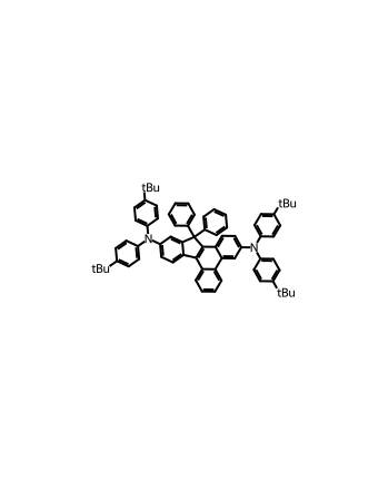 CC(C)(C)c1ccc(N(c2ccc(C(C)(C)C)cc2)c2ccc3c(c2)C(c2ccccc2)(c2ccccc2)c2c-3c3ccccc3c3cc(N(c4ccc(C(C)(C)C)cc4)c4ccc(C(C)(C)C)cc4)ccc23)cc1